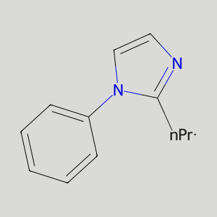 CC[CH]c1nccn1-c1ccccc1